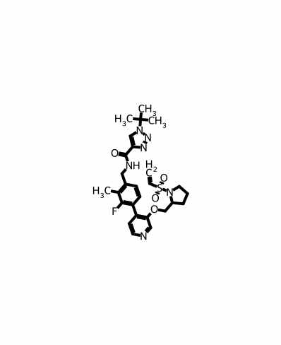 C=CS(=O)(=O)N1CCCC1COc1cnccc1-c1ccc(CNC(=O)c2cn(C(C)(C)C)nn2)c(C)c1F